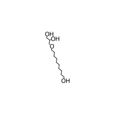 OCCCCCCCCCCOCC(O)CO